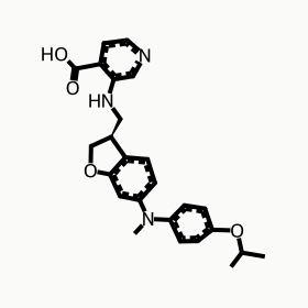 CC(C)Oc1ccc(N(C)c2ccc3c(c2)OC[C@H]3CNc2cnccc2C(=O)O)cc1